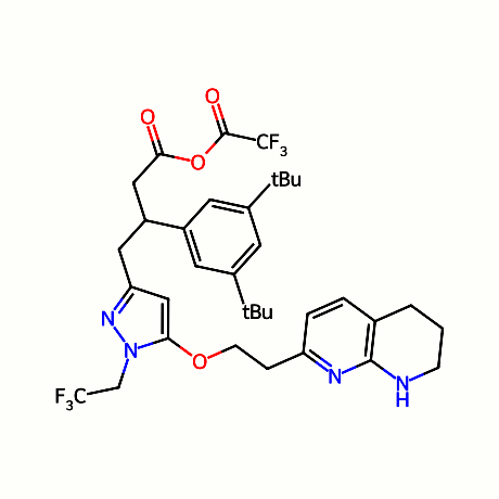 CC(C)(C)c1cc(C(CC(=O)OC(=O)C(F)(F)F)Cc2cc(OCCc3ccc4c(n3)NCCC4)n(CC(F)(F)F)n2)cc(C(C)(C)C)c1